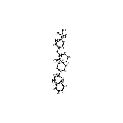 O=C1N(Cc2ccc(C(F)(F)F)nc2)CCCC12CCN(c1cnc3ccccc3n1)CC2